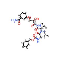 CC(C)C[C@H](NC(=O)OCc1ccccc1)C(=O)N[C@H](C(=O)NC(=O)C(O)COc1cccc(C(N)=O)c1)C(C)C